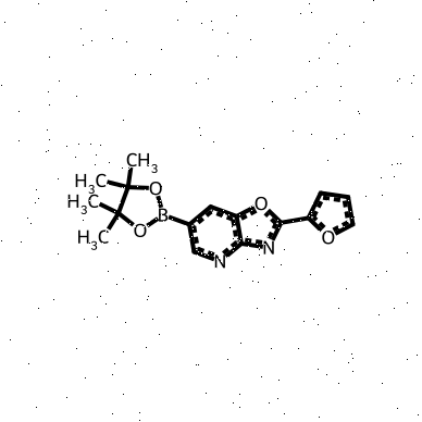 CC1(C)OB(c2cnc3nc(-c4ccco4)oc3c2)OC1(C)C